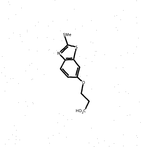 CSc1nc2ccc(OCCC(=O)O)cc2s1